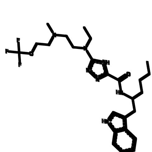 CCCCC(Cc1c[nH]c2ccccc12)NC(=O)c1nnc(N(CC)CCN(C)CCOC(F)(F)F)[nH]1